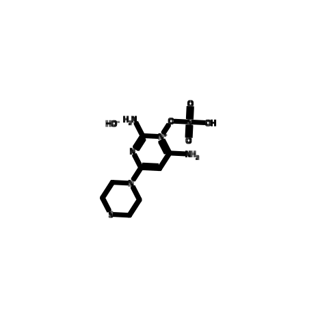 Nc1cc(N2CCSCC2)nc(N)[n+]1OS(=O)(=O)O.[OH-]